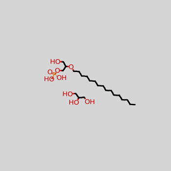 CCCCCCCCCCCCCCCCOC(CO)COP(=O)(O)O.OCC(O)CO